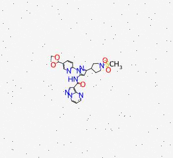 CS(=O)(=O)N1CCC(c2cc(NC(=O)c3cnn4cccnc34)n(-c3ccc(C4OCCO4)cn3)n2)CC1